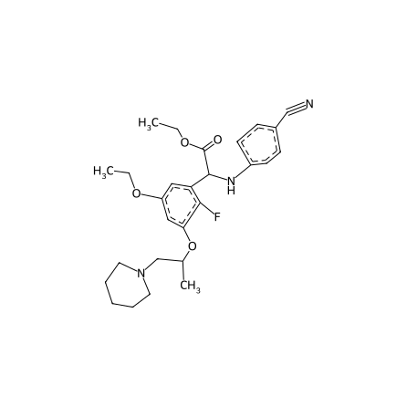 CCOC(=O)C(Nc1ccc(C#N)cc1)c1cc(OCC)cc(OC(C)CN2CCCCC2)c1F